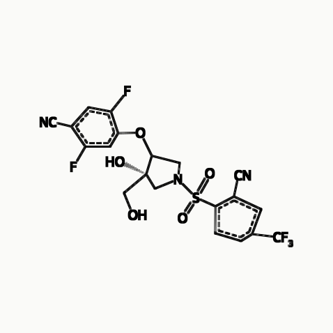 N#Cc1cc(F)c(OC2CN(S(=O)(=O)c3ccc(C(F)(F)F)cc3C#N)C[C@@]2(O)CO)cc1F